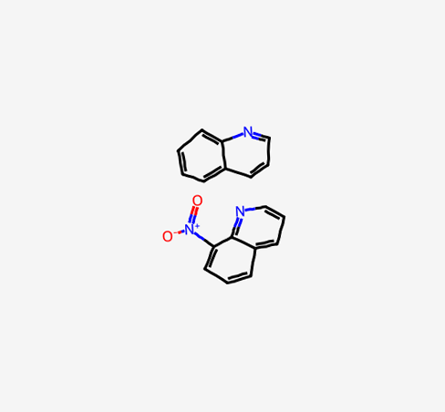 O=[N+]([O-])c1cccc2cccnc12.c1ccc2ncccc2c1